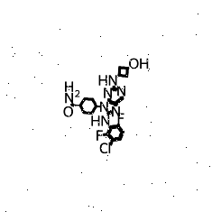 NC(=O)[C@H]1CC[C@@H](n2c(Nc3c(F)ccc(Cl)c3F)nc3cnc(N[C@H]4C[C@H](O)C4)nc32)CC1